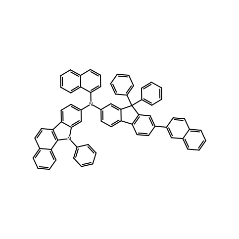 c1ccc(-n2c3cc(N(c4ccc5c(c4)C(c4ccccc4)(c4ccccc4)c4cc(-c6ccc7ccccc7c6)ccc4-5)c4cccc5ccccc45)ccc3c3ccc4ccccc4c32)cc1